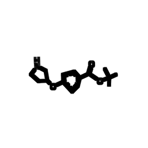 CC(C)(C)OC(=O)c1ccc(OC2CCNC2)cc1